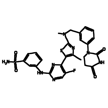 Cc1nc(N(C)Cc2cccc(N3CCC(=O)NC3=O)c2)sc1-c1nc(Nc2cccc(S(N)(=O)=O)c2)ncc1F